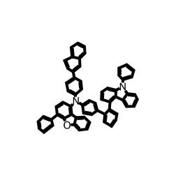 c1ccc(-c2ccc(N(c3ccc(-c4ccc5ccccc5c4)cc3)c3ccc(-c4ccccc4-c4cccc5c4c4ccccc4n5-c4ccccc4)cc3)c3c2oc2ccccc23)cc1